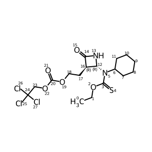 CCOC(=S)N(C1CCCCC1)[C@H]1NC(=O)[C@@H]1CCOC(=O)OCC(Cl)(Cl)Cl